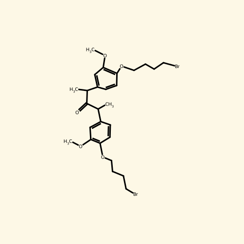 COc1cc(C(C)C(=O)C(C)c2ccc(OCCCCBr)c(OC)c2)ccc1OCCCCBr